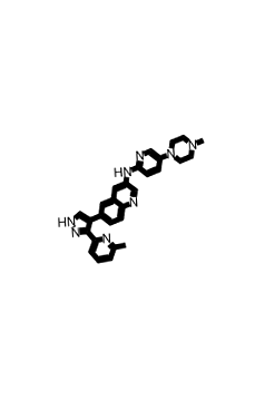 Cc1cccc(-c2n[nH]cc2-c2ccc3ncc(Nc4ccc(N5CCN(C)CC5)cn4)cc3c2)n1